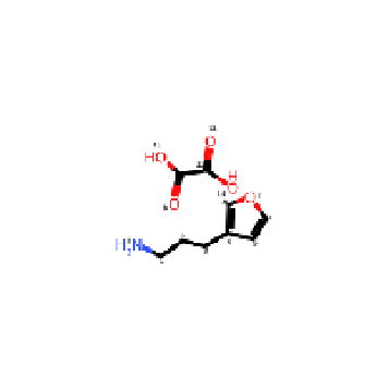 NCCCc1ccoc1.O=C(O)C(=O)O